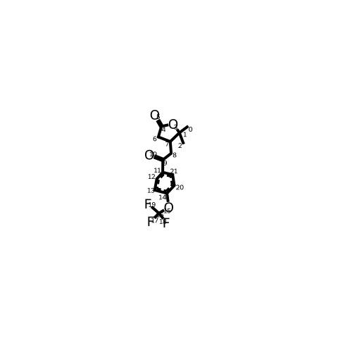 CC1(C)OC(=O)CC1CC(=O)c1ccc(OC(F)(F)F)cc1